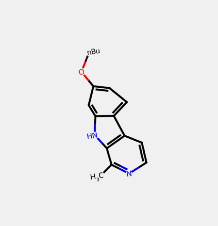 CCCCOc1ccc2c(c1)[nH]c1c(C)nccc12